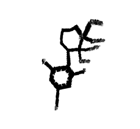 CCCC1(OC)C(c2c(F)cc(F)cc2F)CCC[Si]1(OC)OC